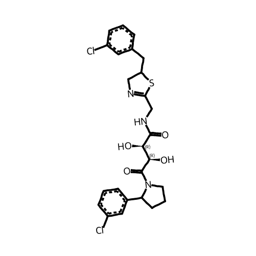 O=C(NCC1=NCC(Cc2cccc(Cl)c2)S1)[C@H](O)[C@@H](O)C(=O)N1CCCC1c1cccc(Cl)c1